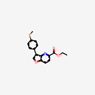 CCOC(=O)c1ccc2occ(-c3ccc(SC)cc3)c2n1